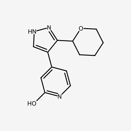 Oc1cc(-c2c[nH]nc2C2CCCCO2)ccn1